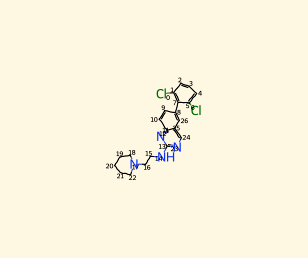 Clc1cccc(Cl)c1-c1ccc2nc(NCCN3CCCCC3)ncc2c1